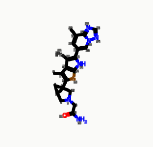 Cc1c(C23CC2CN(CC(N)=O)C3)sc2[nH]c(-c3cc(C)c4ncnn4c3)c(C(C)C)c12